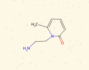 Cc1cccc(=O)n1CCN